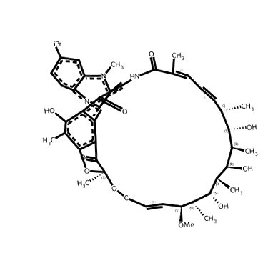 CO[C@H]1/C=C/CO[C@@]2(C)Oc3c(C)c(O)c4c(=O)c(c5n(C)c6cc(C(C)C)ccc6nc-5c4c3C2=O)NC(=O)/C(C)=C\C=C\[C@H](C)[C@H](O)[C@@H](C)[C@@H](O)[C@@H](C)[C@H](O)[C@@H]1C